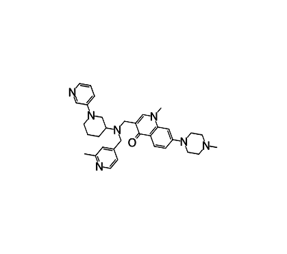 Cc1cc(CN(Cc2cn(C)c3cc(N4CCN(C)CC4)ccc3c2=O)C2CCCN(c3cccnc3)C2)ccn1